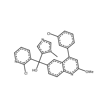 COc1cc(-c2cccc(Cl)c2)c2cc(C(O)(c3cccnc3Cl)c3cncn3C)ccc2n1